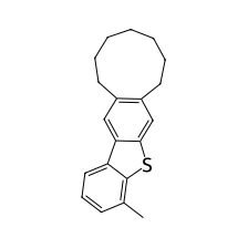 Cc1cccc2c1sc1cc3c(cc12)CCCCCCC3